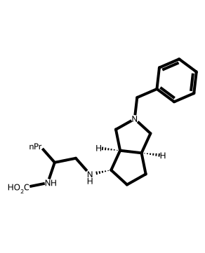 CCCC(CN[C@H]1CC[C@@H]2CN(Cc3ccccc3)C[C@@H]21)NC(=O)O